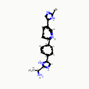 CC(C)c1ncc(-c2ccc(-c3ccc(-c4cnc([C@H](C)N)[nH]4)cc3)nc2)[nH]1